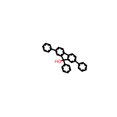 OC1(c2ccccc2)c2cc(-c3ccccc3)ccc2-c2ccc(-c3ccccc3)cc21